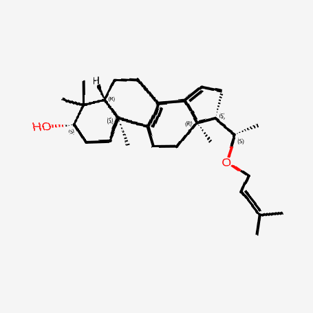 CC(C)=CCO[C@@H](C)[C@H]1CC=C2C3=C(CC[C@@]21C)[C@@]1(C)CC[C@H](O)C(C)(C)[C@@H]1CC3